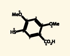 COc1cc(OC)c(C(=O)O)cc1S